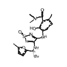 Cc1ccc([C@H](NC2=N[Si](=O)N=C2Nc2ccc(C)c(C(=O)N(C)C)c2O)C(C)(C)C)o1